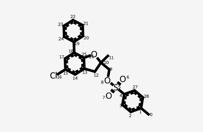 Cc1ccc(S(=O)(=O)OCC2(C)Cc3cc(Cl)cc(-c4ccccc4)c3O2)cc1